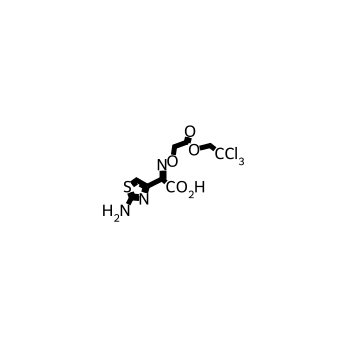 Nc1nc(C(=NOCC(=O)OCC(Cl)(Cl)Cl)C(=O)O)cs1